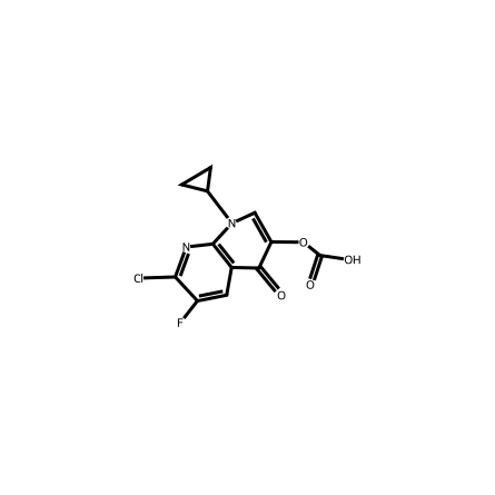 O=C(O)Oc1cn(C2CC2)c2nc(Cl)c(F)cc2c1=O